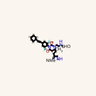 CN/C=C(\C=N)CCC1(C)CC(=O)N(c2c(F)cc(C#Cc3ccccc3)cc2F)C(=O)N1CCNC=O